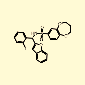 O=S(=O)(N[C@@H](c1cc2ccccc2o1)c1ccccc1I)c1ccc2c(c1)OCCCO2